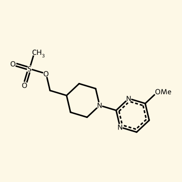 COc1ccnc(N2CCC(COS(C)(=O)=O)CC2)n1